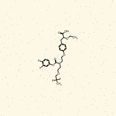 CCOC(Cc1ccc(OCCN(CCOCC(C)(F)F)C(=O)Oc2ccc(F)c(F)c2)cc1)C(=O)O